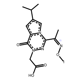 C/C(=N/OI)c1nn(CC(=O)O)c(=O)c2cc(C(C)C)cn12